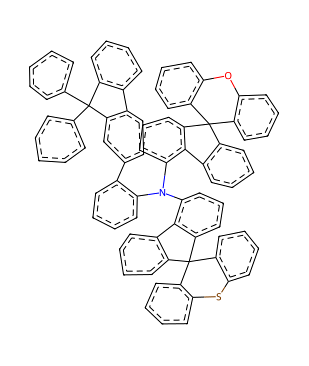 c1ccc(C2(c3ccccc3)c3ccccc3-c3ccc(-c4ccccc4N(c4cccc5c4-c4ccccc4C54c5ccccc5Oc5ccccc54)c4cccc5c4-c4ccccc4C54c5ccccc5Sc5ccccc54)cc32)cc1